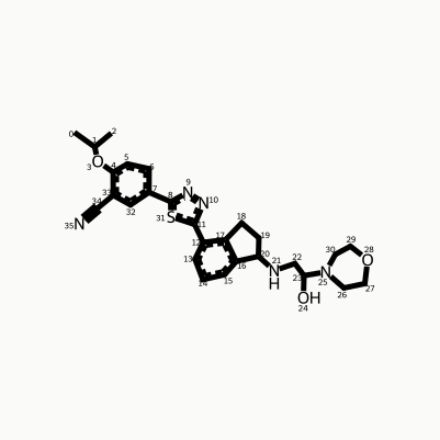 CC(C)Oc1ccc(-c2nnc(-c3cccc4c3CCC4NCC(O)N3CCOCC3)s2)cc1C#N